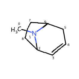 CN1C2C=CCC1CC2